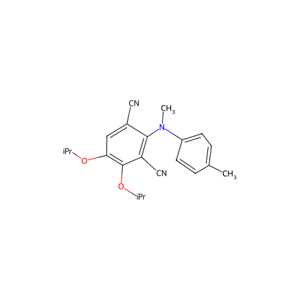 Cc1ccc(N(C)c2c(C#N)cc(OC(C)C)c(OC(C)C)c2C#N)cc1